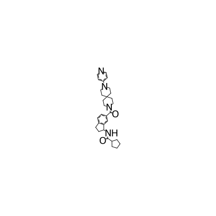 O=C(NC1CCc2ccc(C(=O)N3CCC4(CC3)CCN(c3ccncc3)CC4)cc21)C1CCCC1